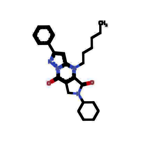 CCCCCCn1c2c(c(=O)n3nc(-c4ccccc4)cc13)CN(C1CCCCC1)C2=O